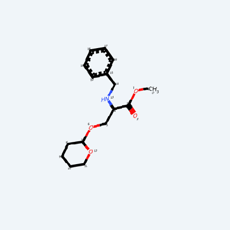 COC(=O)C(COC1CCCCO1)NCc1ccccc1